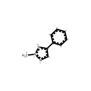 Cn1n[c]c(-c2ccccc2)n1